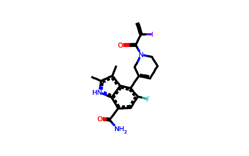 C=C(I)C(=O)N1CCC=C(c2c(F)cc(C(N)=O)c3[nH]c(C)c(C)c23)C1